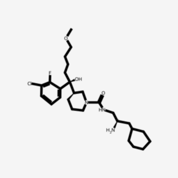 COCCCC[C@@](O)(c1cccc(Cl)c1F)[C@@H]1CCCN(C(=O)NC[C@H](N)CC2CCCCC2)C1